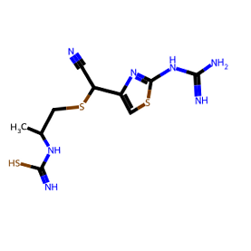 CC(CSC(C#N)c1csc(NC(=N)N)n1)NC(=N)S